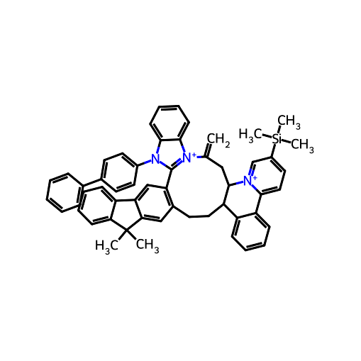 C=C1CC2C(CCc3cc4c(cc3-c3n(-c5ccc(-c6ccccc6)cc5)c5ccccc5[n+]31)-c1ccccc1C4(C)C)c1ccccc1-c1ccc([Si](C)(C)C)c[n+]12